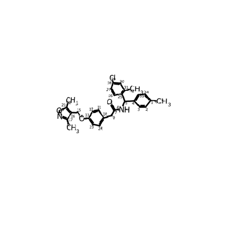 Cc1ccc(C(NC(=O)Cc2ccc(OCc3c(C)noc3C)cc2)c2ccc(Cl)cc2C)cc1